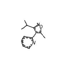 Cc1onc(C(C)C)c1-c1ccccn1